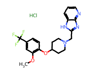 COc1cc(C(F)(F)F)ccc1OC1CCN(Cc2nc3ncccc3[nH]2)CC1.Cl